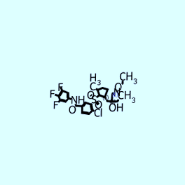 CCO/N=C/[C@](O)(CC)C[C@@H]1CCC(C)C1S(=O)(=O)c1cc(C(=O)Nc2cc(F)c(F)c(F)c2)ccc1Cl